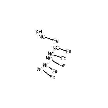 N#[C][Fe].N#[C][Fe].N#[C][Fe].N#[C][Fe].N#[C][Fe].N#[C][Fe].[KH]